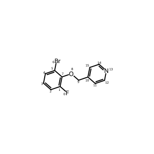 Fc1cccc(Br)c1OCc1ccncc1